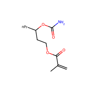 C=C(C)C(=O)OCCC(CCC)OC(N)=O